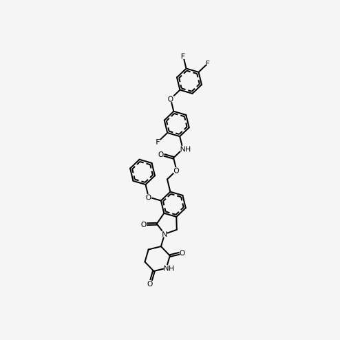 O=C1CCC(N2Cc3ccc(COC(=O)Nc4ccc(Oc5ccc(F)c(F)c5)cc4F)c(Oc4ccccc4)c3C2=O)C(=O)N1